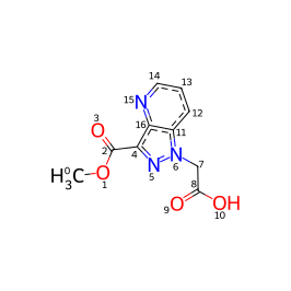 COC(=O)c1nn(CC(=O)O)c2cccnc12